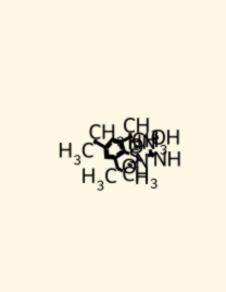 CC(C)c1cc(C(C)C)c(S(=O)(=O)NC(=N)NO)c(C(C)C)c1